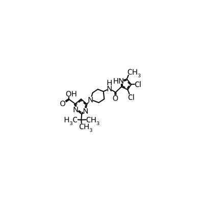 Cc1[nH]c(C(=O)NC2CCN(c3cc(C(=O)O)nc(C(C)(C)C)n3)CC2)c(Cl)c1Cl